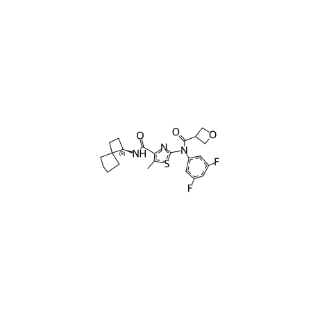 Cc1sc(N(C(=O)C2COC2)c2cc(F)cc(F)c2)nc1C(=O)N[C@@H]1CCC12CCCC2